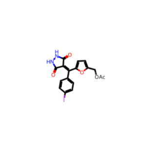 CC(=O)OCc1ccc(C(=C2C(=O)NNC2=O)c2ccc(I)cc2)o1